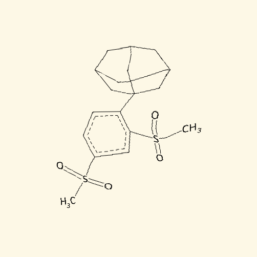 CS(=O)(=O)c1ccc(C23CC4CC(CC(C4)C2)C3)c(S(C)(=O)=O)c1